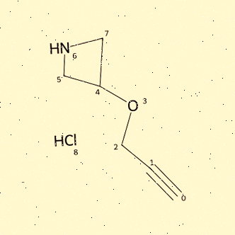 C#CCOC1CNC1.Cl